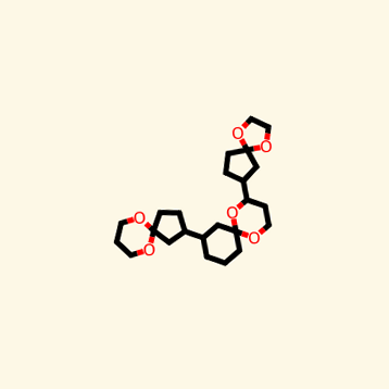 C1COC2(CCC(C3CCCC4(C3)OCCC(C3CCC5(C3)OCCO5)O4)C2)OC1